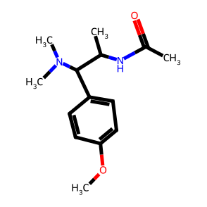 COc1ccc(C(C(C)NC(C)=O)N(C)C)cc1